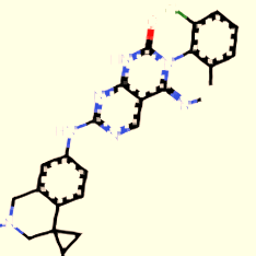 C/N=c1/c2cnc(Nc3ccc4c(c3)CN(C)CC43CC3)nc2[nH]c(=O)n1-c1c(C)cccc1Cl